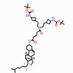 CC(C)CCC[C@@H](C)[C@H]1CC[C@H]2[C@@H]3CC=C4C[C@@H](OC(=O)CCCC(=O)N(CCC5CC(NC(=O)OC(C)(C)C)C5)CCC5CC(NC(=O)OC(C)(C)C)C5)CC[C@]4(C)[C@H]3CC[C@]12C